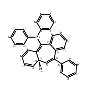 C1=CC2=C(P(c3ccccc3)c3ccccc3)c3ccccc3C(c3ccccc3)=C[C@@H]2C=C1